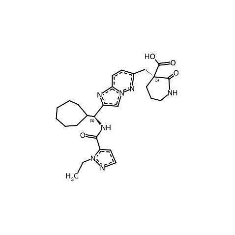 CCn1nccc1C(=O)N[C@H](c1cn2nc(C[C@@]3(C(=O)O)CCCNC3=O)ccc2n1)C1CCCCCC1